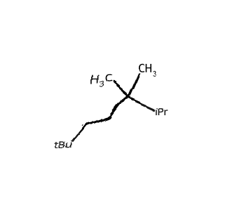 CC(C)C(C)(C)C[CH]C(C)(C)C